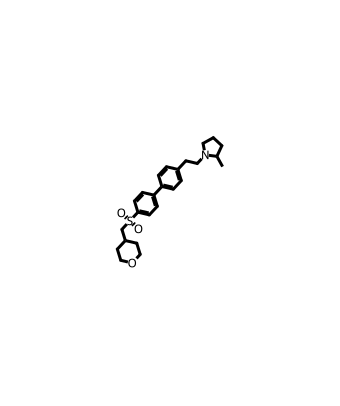 CC1CCCN1CCc1ccc(-c2ccc(S(=O)(=O)CC3CCOCC3)cc2)cc1